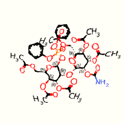 CC(=O)OC[C@H]1O[C@@H](OP(=O)(Oc2ccccc2)Oc2ccccc2)[C@H](O[C@@H]2O[C@H](COC(C)=O)[C@@H](OC(C)=O)[C@H](OC(C)=O)[C@@H]2OC(N)=O)[C@H](OC(C)=O)[C@H]1OC(C)=O